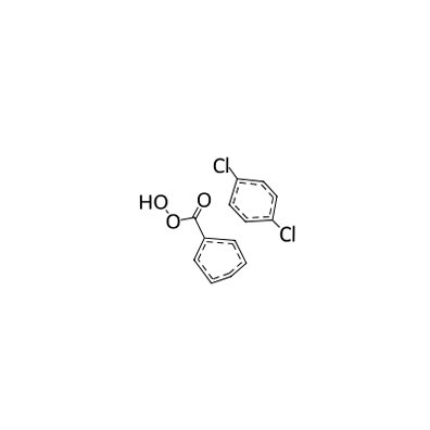 Clc1ccc(Cl)cc1.O=C(OO)c1ccccc1